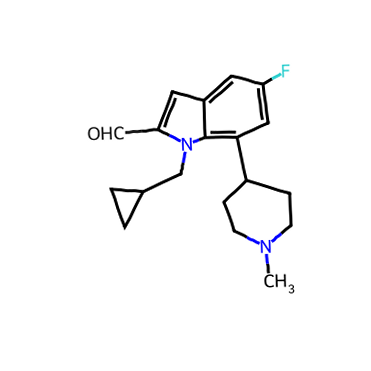 CN1CCC(c2cc(F)cc3cc(C=O)n(CC4CC4)c23)CC1